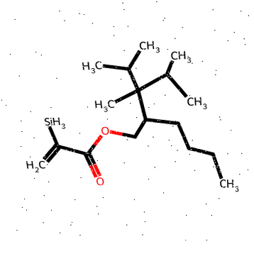 C=C([SiH3])C(=O)OCC(CCCC)C(C)(C(C)C)C(C)C